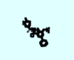 Cc1ccc([C@@H](C)NC(=O)c2cc(-c3ccccc3)cc(CN(C)C)c2C)cn1